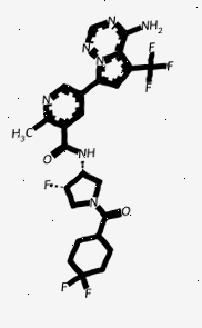 Cc1ncc(-c2cc(C(F)(F)F)c3c(N)ncnn23)cc1C(=O)N[C@@H]1CN(C(=O)C2CCC(F)(F)CC2)C[C@@H]1F